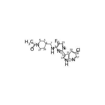 CC(=O)N1CCC(CNc2nc(-c3c[nH]c4ncc(Cl)cc34)ncc2F)CC1